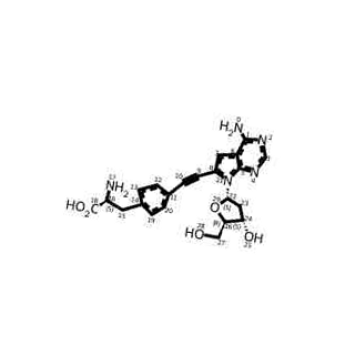 Nc1ncnc2c1cc(C#Cc1ccc(C[C@H](N)C(=O)O)cc1)n2[C@@H]1C[C@H](O)[C@@H](CO)O1